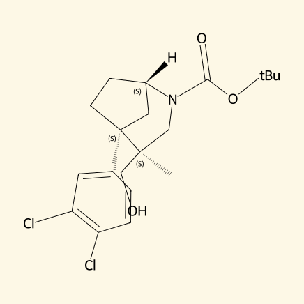 CC(C)(C)OC(=O)N1C[C@@](C)(CO)[C@@]2(c3ccc(Cl)c(Cl)c3)CC[C@H]1C2